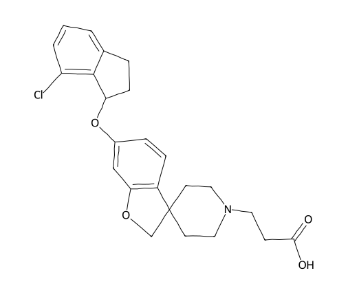 O=C(O)CCN1CCC2(CC1)COc1cc(OC3CCc4cccc(Cl)c43)ccc12